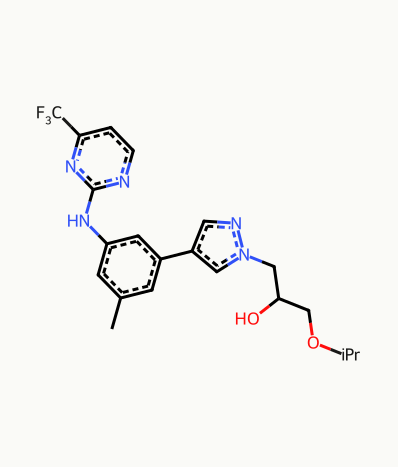 Cc1cc(Nc2nccc(C(F)(F)F)n2)cc(-c2cnn(CC(O)COC(C)C)c2)c1